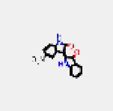 O=C1Nc2ccc([N+](=O)[O-])cc2C1=C1Nc2ccccc2C1=O